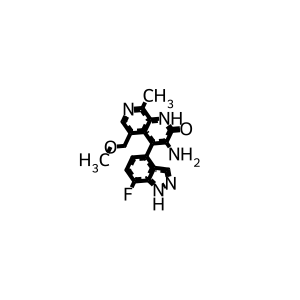 COCc1cnc(C)c2[nH]c(=O)c(N)c(-c3ccc(F)c4[nH]ncc34)c12